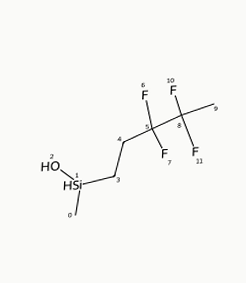 C[SiH](O)CCC(F)(F)C(C)(F)F